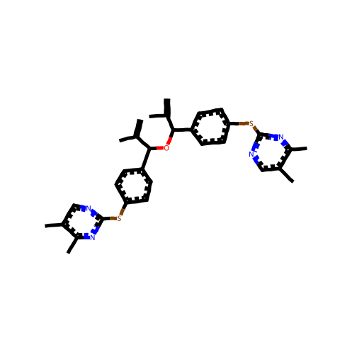 C=C(C)C(OC(C(=C)C)c1ccc(Sc2ncc(C)c(C)n2)cc1)c1ccc(Sc2ncc(C)c(C)n2)cc1